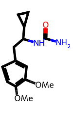 COc1ccc(CC(NC(N)=O)C2CC2)cc1OC